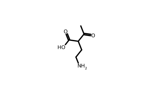 CC(=O)C(CCN)C(=O)O